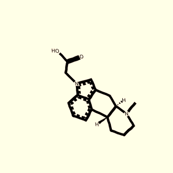 CN1CCC[C@@H]2c3cccc4c3c(cn4CC(=O)O)C[C@H]21